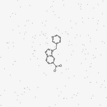 O=[N+]([O-])c1ccc2ccn(Cc3cccnc3)c2c1